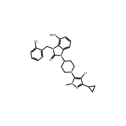 COc1cccc2c1n(Cc1ccccc1C(F)(F)F)c(=O)n2C1CCN(c2c(Cl)c(C3CC3)nn2C)CC1